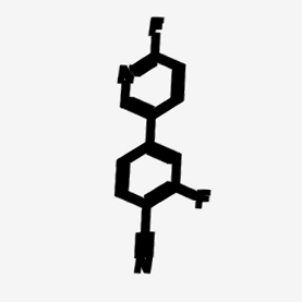 N#Cc1ccc(-c2ccc(F)nc2)cc1F